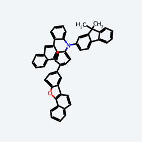 CC1(C)c2ccccc2-c2ccc(N(c3ccc(-c4ccc5oc6c7ccccc7ccc6c5c4)cc3)c3ccccc3-c3ccc4ccccc4c3)cc21